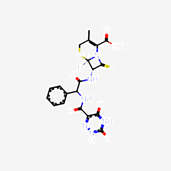 CC1=C(C(=O)O)N2C(=S)[C@@H](NC(=O)C(NC(=O)c3n[nH]c(=O)[nH]c3=O)c3ccccc3)[C@@H]2SC1